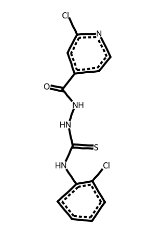 O=C(NNC(=S)Nc1ccccc1Cl)c1ccnc(Cl)c1